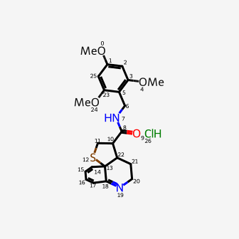 COc1cc(OC)c(CNC(=O)C2CSC34C=CC=CC3=NCCC24)c(OC)c1.Cl